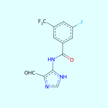 O=Cc1nc[nH]c1NC(=O)c1cc(F)cc(C(F)(F)F)c1